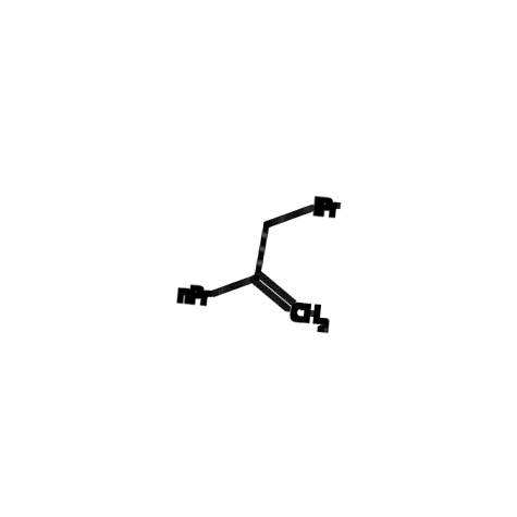 C=C(CCC)CC(C)C